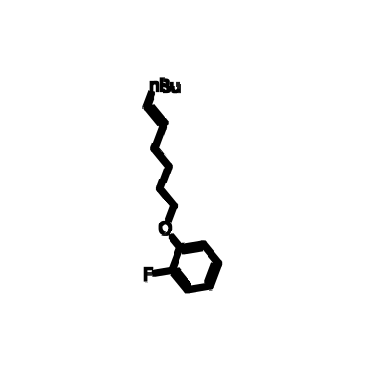 CCCC/C=C/CCCCOc1ccccc1F